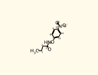 CCCC(=O)NOc1ccc([N+](=O)[O-])cc1